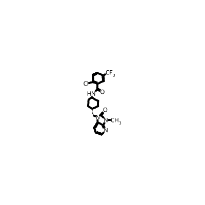 Cn1c(=O)n(C[C@H]2CC[C@H](NC(=O)c3cc(C(F)(F)F)ccc3Cl)CC2)c2cccnc21